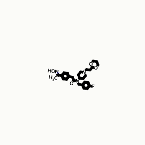 C/C(=N\O)c1ccc(CC(=O)N(Cc2ccc(F)cc2)C2CCN(CCC3OCCCO3)CC2)cc1